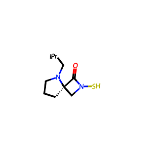 CC(C)CN1CCC[C@]12CN(S)C2=O